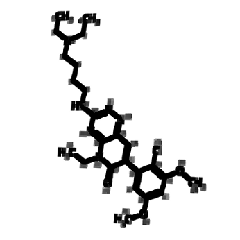 CCN(CC)CCCCNc1nnc2cc(-c3cc(OC)cc(OC)c3Cl)c(=O)n(CC)c2n1